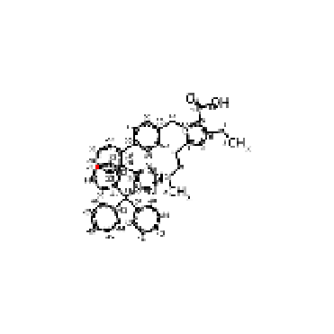 CCCCc1cc(CC)c(C(=O)O)n1Cc1ccc(-c2ccccc2-c2nnnn2C(c2ccccc2)(c2ccccc2)c2ccccc2)cc1